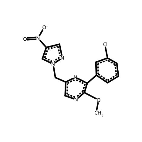 COc1ncc(Cn2cc([N+](=O)[O-])cn2)nc1-c1cccc(Cl)c1